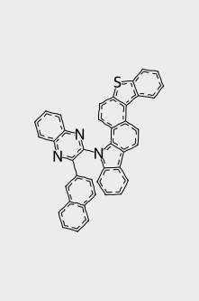 c1ccc2cc(-c3nc4ccccc4nc3-n3c4ccccc4c4ccc5c(ccc6sc7ccccc7c65)c43)ccc2c1